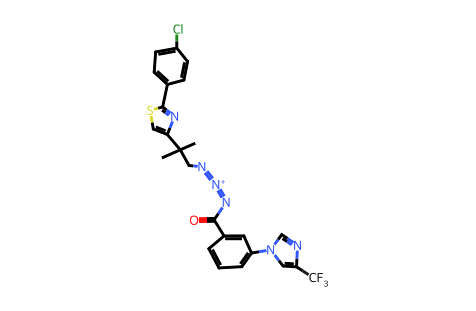 CC(C)(CN=[N+]=NC(=O)c1cccc(-n2cnc(C(F)(F)F)c2)c1)c1csc(-c2ccc(Cl)cc2)n1